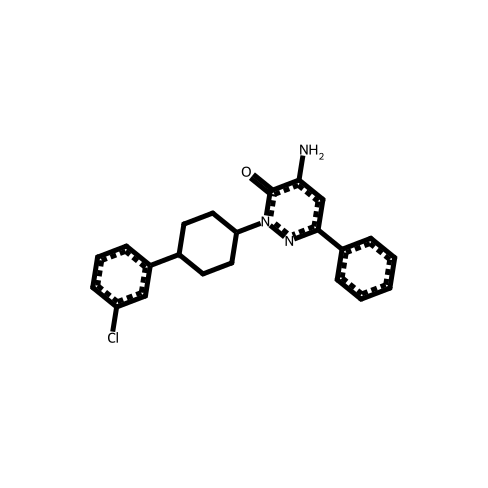 Nc1cc(-c2ccccc2)nn(C2CC[C](c3cccc(Cl)c3)CC2)c1=O